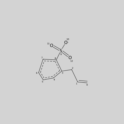 C=CCc1ccccc1S([O])(=O)=O